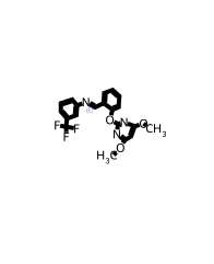 COc1cc(OC)nc(Oc2ccccc2/C=N/c2cccc(C(F)(F)F)c2)n1